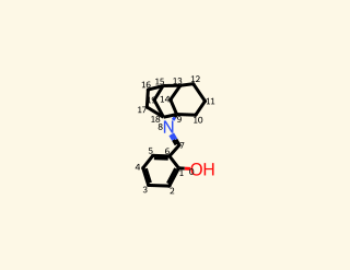 Oc1ccccc1C=NC12CCCC(C1)C1CCC2C1